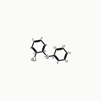 [Li][c]1ccccc1Sc1ccccc1